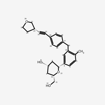 Cc1ccc([C@H]2C[C@@H](O)C[C@@H](CO)O2)cc1Cc1ccc(C#C[C@@H]2CCOC2)cc1